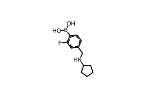 OB(O)c1ccc(CNC2CCCC2)cc1F